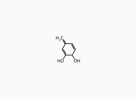 C=C1C=CC(O)C(O)=C1